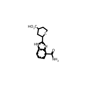 NC(=O)c1cccc2[nH]c(C3CCCC(C(=O)O)C3)nc12